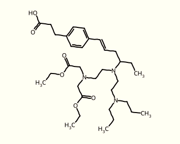 CCCN(CCC)CCN(CCN(CC(=O)OCC)CC(=O)OCC)C(CC)C/C=C/c1ccc(CCC(=O)O)cc1